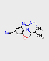 CC(C)[C@H]1COc2cc(C#N)cc3nc(N)n1c23